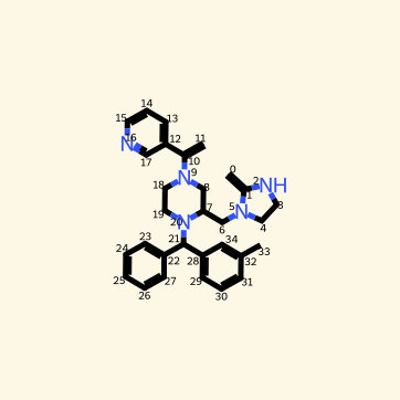 C=C1NCCN1CC1CN(C(=C)c2cccnc2)CCN1C(c1ccccc1)c1cccc(C)c1